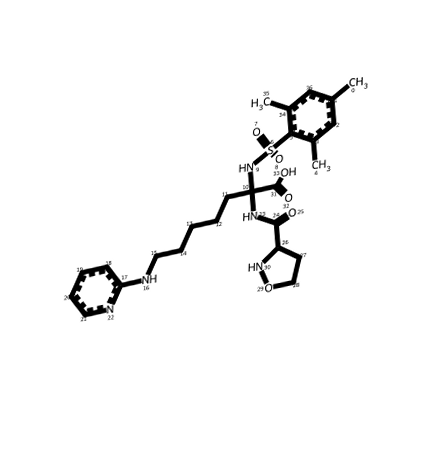 Cc1cc(C)c(S(=O)(=O)NC(CCCCCNc2ccccn2)(NC(=O)C2CCON2)C(=O)O)c(C)c1